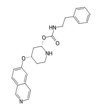 O=C(NCCc1ccccc1)O[C@H]1C[C@@H](Oc2ccc3cnccc3c2)CCN1